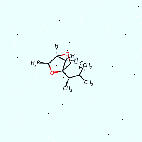 B[C@@H]1O[C@@]2([C@H](C)C(C)C)[C@H](C)[C@@H]1O[C@@H]2C